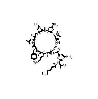 CC(C)C[C@@H]1NC(=O)[C@@H](Cc2ccccc2)NC(=O)[C@H](CCCN)NC(=O)[C@@H](NC(=O)[C@H](CCN)NC(=O)[C@@H](NC(=O)CCCN)C(C)O)CCNC(=O)[C@H](C(C)O)NC(=O)[C@H](CCN)NC(=O)[C@H](CCN)NC1=O